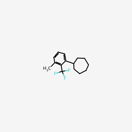 Cc1cccc(C2CCCCCC2)c1C(F)(F)F